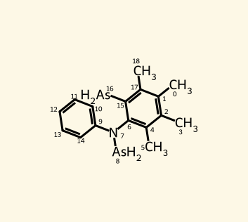 Cc1c(C)c(C)c(N([AsH2])c2ccccc2)c([AsH2])c1C